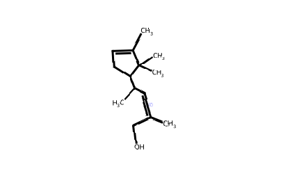 CC1=CCC(C(C)/C=C(/C)CO)C1(C)C